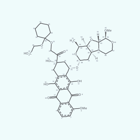 COc1cccc2c1C(=O)c1c(O)c3c(c(O)c1C2=O)C[C@@](O)(C(=O)COC1(OCC(=O)O)CCCCC1)C[C@@H]3O[C@H]1C[C@H]2[C@H](O[C@@H]3[C@@H](OC)OCCN32)[C@H](C)O1